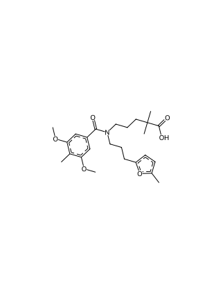 COc1cc(C(=O)N(CCCc2ccc(C)o2)CCCC(C)(C)C(=O)O)cc(OC)c1C